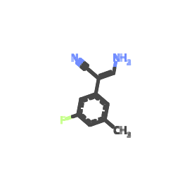 Cc1cc(F)cc(C(C#N)=CN)c1